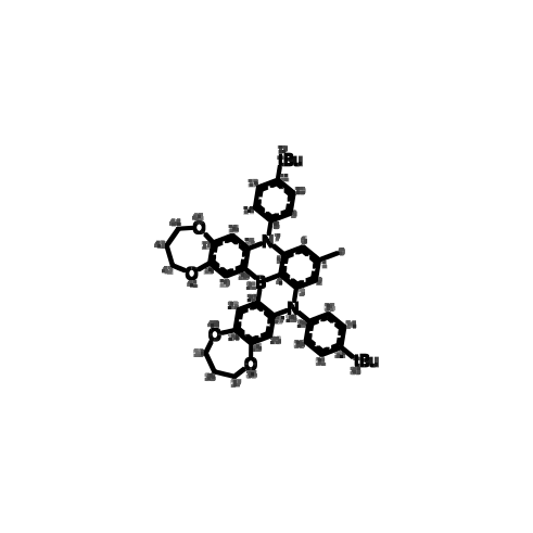 Cc1cc2c3c(c1)N(c1ccc(C(C)(C)C)cc1)c1cc4c(cc1B3c1cc3c(cc1N2c1ccc(C(C)(C)C)cc1)OCCCO3)OCCCO4